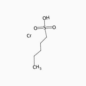 CCCCCS(=O)(=O)O.[Cr]